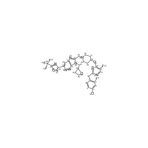 Fc1cc(Cl)ccc1Cc1ncc(F)c(OC2CCN(Cc3nc4cc(-c5noc(C(F)(F)F)n5)nnc4n3CC3CCO3)CC2)n1